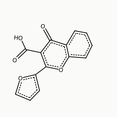 O=C(O)c1c(-c2ccco2)oc2ccccc2c1=O